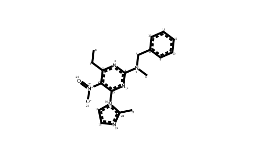 CCc1nc(N(C)Cc2ccccc2)nc(-n2ccnc2C)c1[N+](=O)[O-]